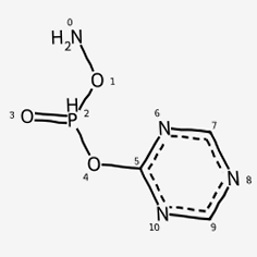 NO[PH](=O)Oc1ncncn1